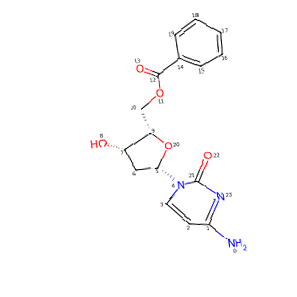 Nc1ccn([C@@H]2C[C@H](O)[C@H](COC(=O)c3ccccc3)O2)c(=O)n1